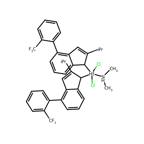 CC(C)C1=Cc2c(-c3ccccc3C(F)(F)F)cccc2[CH]1[Hf]([Cl])([Cl])([CH]1C(C(C)C)=Cc2c(-c3ccccc3C(F)(F)F)cccc21)[SiH](C)C